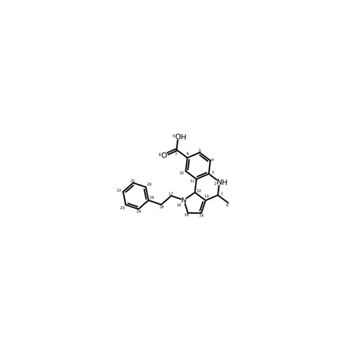 CC1Nc2ccc(C(=O)O)cc2C2C1=C[C]N2CCc1ccccc1